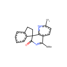 CNC1=NC(=O)C2(CCc3ccccc32)c2nc(C(F)(F)F)ccc21